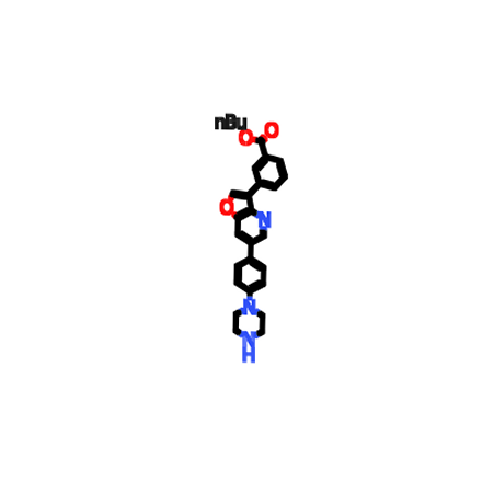 CCCCOC(=O)c1cccc(-c2coc3cc(-c4ccc(N5CCNCC5)cc4)cnc23)c1